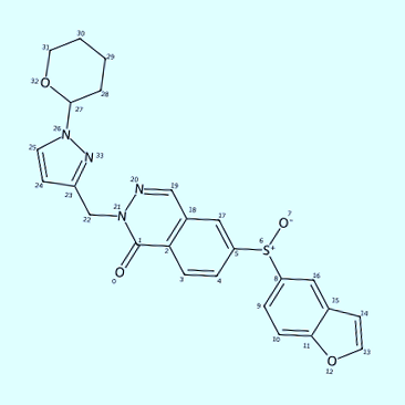 O=c1c2ccc([S+]([O-])c3ccc4occc4c3)cc2cnn1Cc1ccn(C2CCCCO2)n1